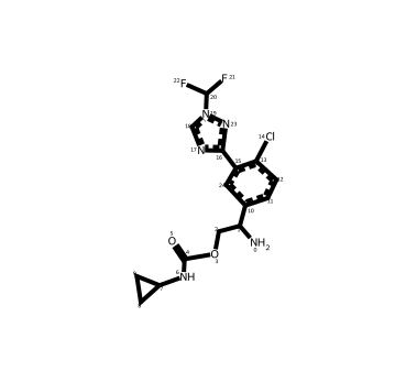 NC(COC(=O)NC1CC1)c1ccc(Cl)c(-c2ncn(C(F)F)n2)c1